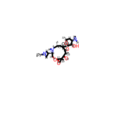 CO[C@]1(C)C[C@@H](C)CN(C)[C@H](C2CN(C(C)C)C2)COC(=O)C(C)(C)C(=O)[C@H](C)[C@H]1O[C@@H]1O[C@H](C)C[C@H](N(C)C)[C@H]1O